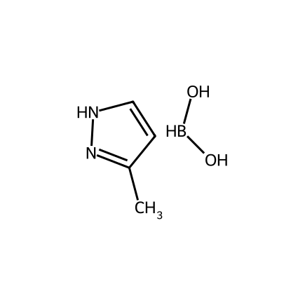 Cc1cc[nH]n1.OBO